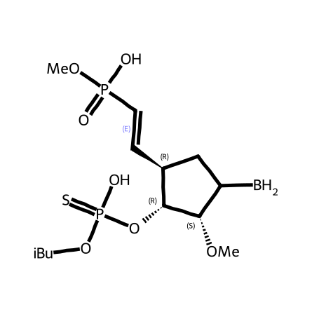 BC1C[C@H](/C=C/P(=O)(O)OC)[C@@H](OP(O)(=S)OC(C)CC)[C@H]1OC